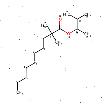 CCCCCCCCC(C)(C)C(=O)OC(C)C(C)C